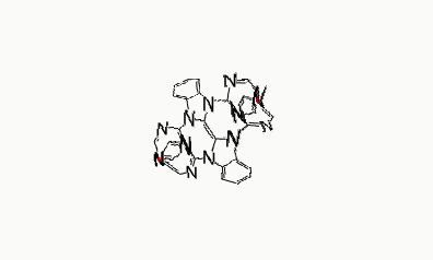 c1ccc2c(c1)N(c1ncncn1)C(=C1N(c3ncncn3)c3ccccc3N1c1ncncn1)N2c1ncncn1